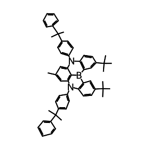 Cc1cc2c3c(c1)N(c1ccc(C(C)(C)c4ccccc4)cc1)c1ccc(C(C)(C)C)cc1B3c1cc(C(C)(C)C)ccc1N2c1ccc(C(C)(C)c2ccccc2)cc1